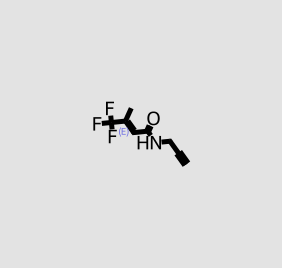 C#CCNC(=O)/C=C(\C)C(F)(F)F